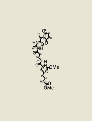 COC(=O)NCCCCC(NC(=O)OC)C(=O)NCCC(=O)NC(C)NC(=O)C(C)N1C(=O)C=CC1=O